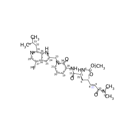 COC(=O)N[C@@H](CC/C=C/C(=O)N(C)C)C(=O)Nc1cccn(Cc2cc3c(F)cnc(CC(C)C)c3[nH]2)c1=O